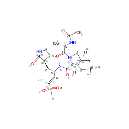 CC(C)(C)[C@H](NC(=O)C(F)(F)F)C(=O)N1C[C@H]2CC(F)(F)C[C@H]2[C@@H]1C(=O)N[C@H](/C=C(\F)S(C)(=O)=O)C[C@@H]1CCNC1=O